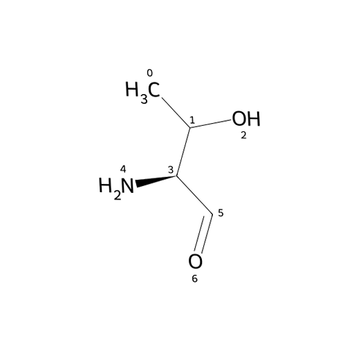 CC(O)[C@H](N)C=O